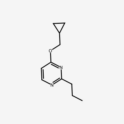 CCCc1nccc(OCC2CC2)n1